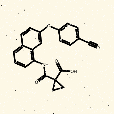 N#Cc1ccc(Oc2ccc3cccc(NC(=O)C4(C(=O)O)CC4)c3c2)cc1